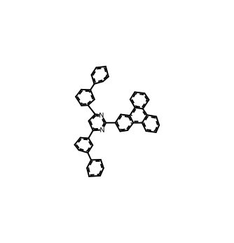 c1ccc(-c2cccc(-c3cc(-c4cccc(-c5ccccc5)c4)nc(-c4ccc5c6ccccc6c6ccccc6c5c4)n3)c2)cc1